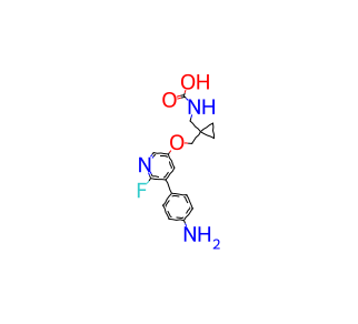 Nc1ccc(-c2cc(OCC3(CNC(=O)O)CC3)cnc2F)cc1